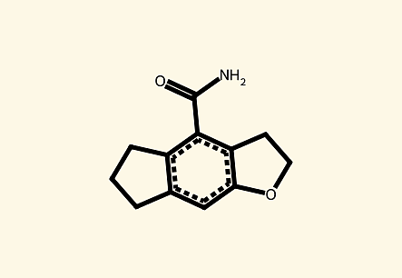 NC(=O)c1c2c(cc3c1CCO3)CCC2